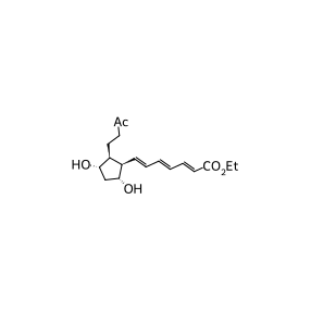 CCOC(=O)C=CC=CC=C[C@@H]1[C@H](CCC(C)=O)[C@@H](O)C[C@H]1O